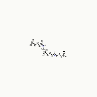 CC(=O)CC/C=C(\C)CCCC(C)CC/C=C(/C)CCC=C(C)C